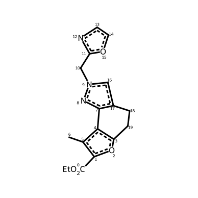 CCOC(=O)c1oc2c(c1C)-c1nn(Cc3ncco3)cc1CC2